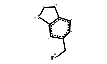 CC(C)Cc1ccc2c(c1)SCC2